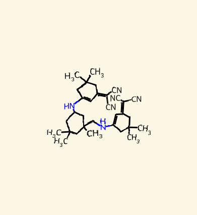 CC1(C)CC(NCC2(C)CC(NC3=CC(=C(C#N)C#N)CC(C)(C)C3)CC(C)(C)C2)=CC(=C(C#N)C#N)C1